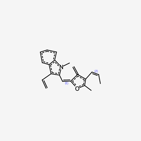 C=Cc1c(/C=c2/oc(C)c(/C=C\C)c2=C)n(C)c2ccccc12